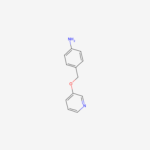 Nc1ccc(COc2cccnc2)cc1